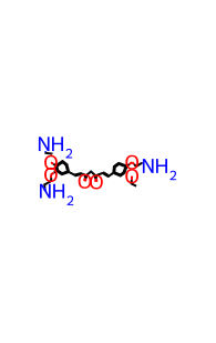 CCOc1cc(/C=C/C(=O)CC(=O)/C=C/c2ccc(OCCN)c(OCCN)c2)ccc1OCCN